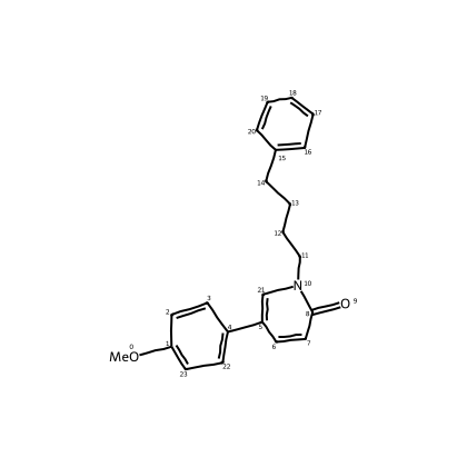 COc1ccc(-c2ccc(=O)n(CCCCc3ccccc3)c2)cc1